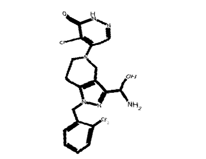 NC(O)c1nn(Cc2ccccc2C(F)(F)F)c2c1CN(c1cn[nH]c(=O)c1Cl)CC2